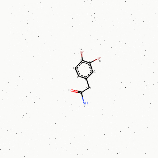 [NH]C(=O)Cc1ccc(Br)c(Br)c1